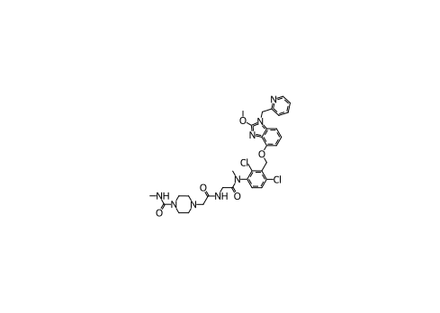 CNC(=O)N1CCN(CC(=O)NCC(=O)N(C)c2ccc(Cl)c(COc3cccc4c3nc(OC)n4Cc3ccccn3)c2Cl)CC1